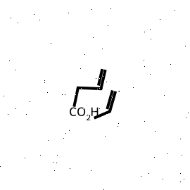 C=CCC(=O)O.[CH]=CC